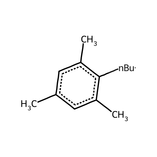 CCC[CH]c1c(C)cc(C)cc1C